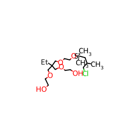 CCC(COCCO)(COCCO)COCCO[Si](C)(C)CC(C)CCl